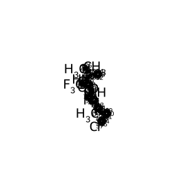 C[C@H]1CC(N2CCc3c(ncnc3NS(=O)(=O)c3ccc(N[C@H](CCN(C)C)CSc4ccccc4)c(S(=O)(=O)C(F)(F)F)c3)C2)CCN1Cc1ccccc1-c1ccc(Cl)cc1